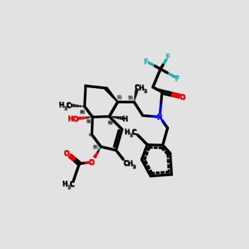 CC(=O)O[C@@H]1[C][C@@]2(O)[C@H](C)CC[C@@H]([C@H](C)CN(Cc3ccccc3C)C(=O)CC(F)(F)F)[C@H]2C=C1C